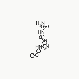 NCS(=O)(=O)CCNCc1ccc(-c2cc3c(Nc4ccc(Oc5ccccc5)cc4)ncnc3cn2)o1